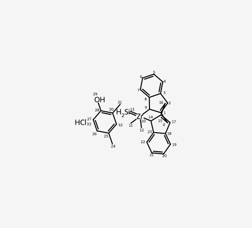 CC1=Cc2ccccc2[CH]1[Zr]([CH3])([CH3])(=[SiH2])[CH]1C(C)=Cc2ccccc21.Cc1ccc(O)c(C)c1.Cl